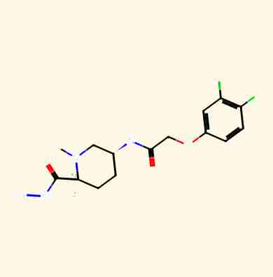 [2H]N1C[C@@H](NC(=O)COc2ccc(Cl)c(Cl)c2)CC[C@]1(C(=O)NN)C(C)(C)C